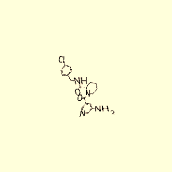 Nc1cncc(C(=O)N2CCCC[C@H]2C(=O)NCc2ccc(Cl)cc2)c1